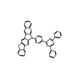 c1ccc(-c2cc(-c3ccccc3)nc(-c3ccc(-n4c5cc6ccccc6cc5c5cc6sc7ccccc7c6cc54)cc3)n2)cc1